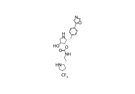 O=C(NCC[C@@H]1C[C@H](C(F)(F)F)CN1)O[C@@H]1[C@@H](O)CN[C@@H]1Cc1ccc(-c2cnco2)cc1